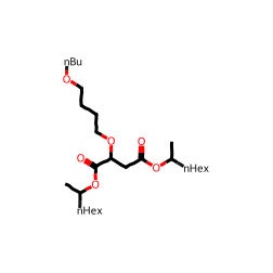 CCCCCCC(C)OC(=O)CC(OCCCCOCCCC)C(=O)OC(C)CCCCCC